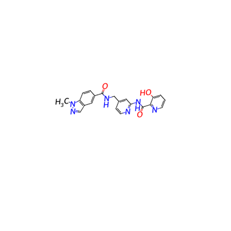 Cn1ncc2cc(C(=O)NCc3ccnc(NC(=O)c4ncccc4O)c3)ccc21